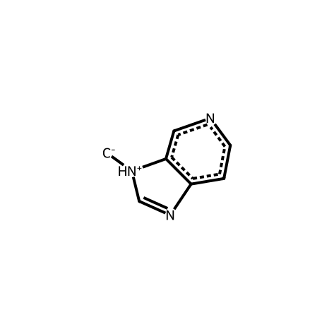 [CH2-][NH+]1C=Nc2ccncc21